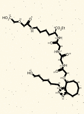 CCOC(=O)[C@H](CCCCNC(=O)COCC(=O)O)NC(=O)CNC(=O)CNC(=O)COC1CCCCCc2nnn(CCCCCCO)c21